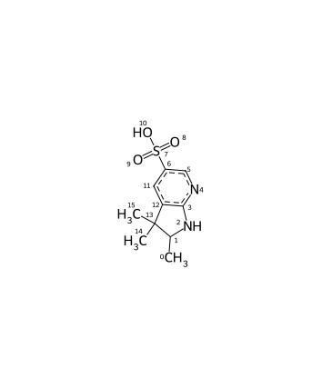 CC1Nc2ncc(S(=O)(=O)O)cc2C1(C)C